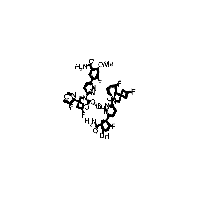 COc1cc(F)c(-c2ccc(N(CC3(c4ncccc4F)CC(F)C3)C(=O)OC(C)(C)C)nn2)cc1C(N)=O.NC(=O)c1cc(-c2ccc(NCC3(c4ncccc4F)CC(F)C3)nn2)c(F)cc1O